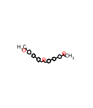 CCC(=O)C1CCC(c2ccc(-c3ccc(CC(=O)Cc4ccc(-c5ccc([C@H]6CC[C@H](C(=O)CC)CC6)cc5)cc4)cc3)cc2)CC1